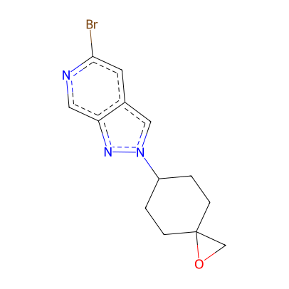 Brc1cc2cn(C3CCC4(CC3)CO4)nc2cn1